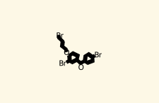 O=C(c1ccc(Br)cc1)c1ccc(OCC=CCBr)c(Br)c1